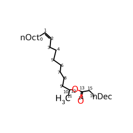 CCCCCCCC/C=C\CCCCCCCC(C)OC(=O)CCCCCCCCCCC